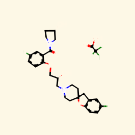 O=C(O)C(F)(F)F.O=C(c1cc(F)ccc1OC[C@@H](O)CN1CCC2(CC1)Cc1cc(Cl)ccc1O2)N1CC[C@H](O)C1